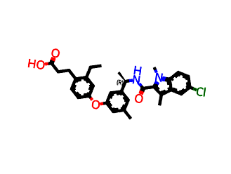 CCc1cc(Oc2cc(C)cc([C@@H](C)NC(=O)c3c(C)c4cc(Cl)ccc4n3C)c2)ccc1CCC(=O)O